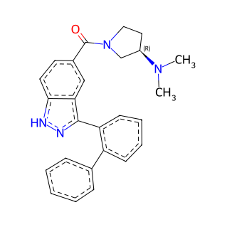 CN(C)[C@@H]1CCN(C(=O)c2ccc3[nH]nc(-c4ccccc4-c4ccccc4)c3c2)C1